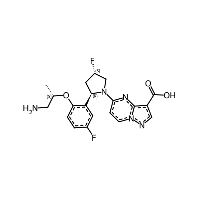 C[C@@H](CN)Oc1ccc(F)cc1[C@H]1C[C@H](F)CN1c1ccn2ncc(C(=O)O)c2n1